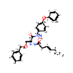 CCC=CCC(=O)NC(COCc1ccccc1)C(=O)Nc1ccc(Oc2ccccc2)cc1